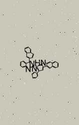 c1ccc2cc(-c3nc(-n4c5ccccc5c5cc6c(cc54)[nH]c4cc5ccccc5cc46)nc4ccccc34)ccc2c1